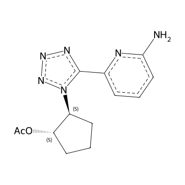 CC(=O)O[C@H]1CCC[C@@H]1n1nnnc1-c1cccc(N)n1